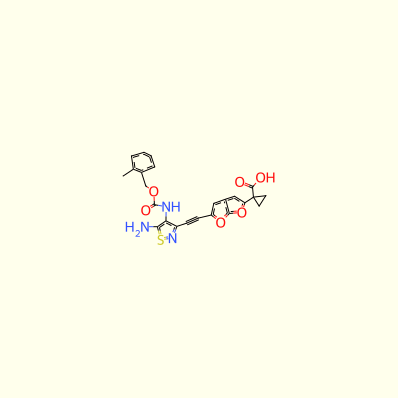 Cc1ccccc1COC(=O)Nc1c(C#Cc2cc3cc(C4(C(=O)O)CC4)oc3o2)nsc1N